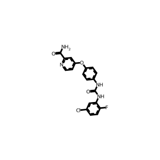 NC(=O)c1cc(Oc2ccc(NC(=O)Nc3cc(Cl)ccc3F)cc2)ccn1